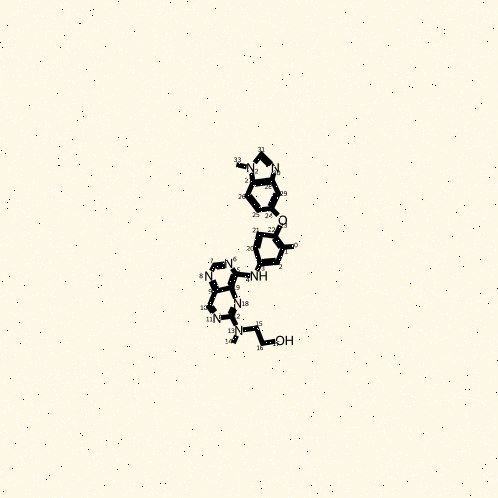 Cc1cc(Nc2ncnc3cnc(N(C)CCO)nc23)ccc1Oc1ccc2c(c1)ncn2C